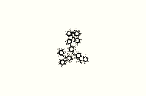 CC1(C)c2ccccc2-c2ccc(N(c3ccc(-c4ccc5c(c4)C(c4ccccc4)(c4ccccc4)c4ccccc4-5)cc3)c3ccc4c5ccccc5n(-c5ccccc5)c4c3)cc21